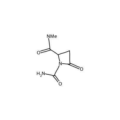 CNC(=O)C1CC(=O)N1C(N)=O